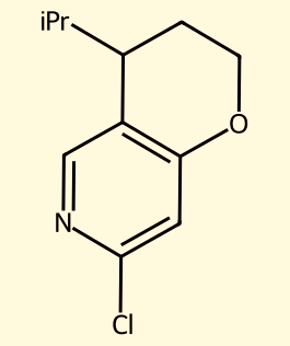 CC(C)C1CCOc2cc(Cl)ncc21